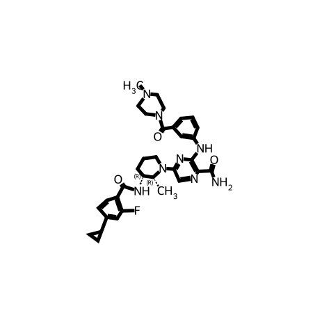 C[C@@H]1[C@H](NC(=O)c2ccc(C3CC3)cc2F)CCCN1c1cnc(C(N)=O)c(Nc2cccc(C(=O)N3CCN(C)CC3)c2)n1